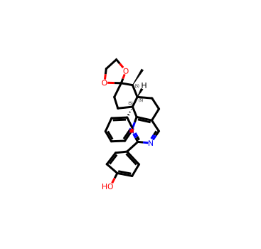 C[C@H]1[C@@H]2CCc3cnc(-c4ccc(O)cc4)nc3[C@@]2(c2ccccc2)CCC12OCCO2